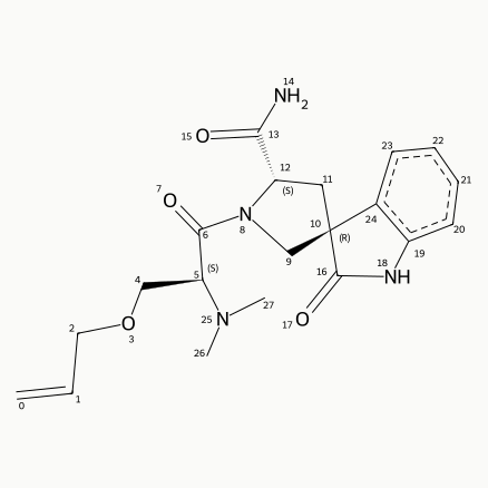 C=CCOC[C@@H](C(=O)N1C[C@]2(C[C@H]1C(N)=O)C(=O)Nc1ccccc12)N(C)C